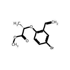 C=Cc1cc(Br)ccc1O[C@@H](C)C(=O)OC